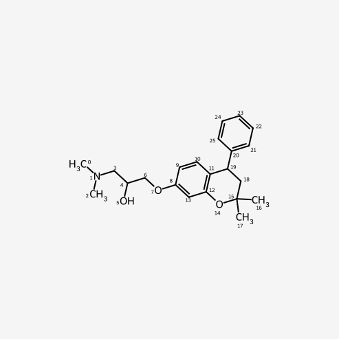 CN(C)CC(O)COc1ccc2c(c1)OC(C)(C)CC2c1ccccc1